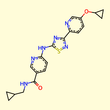 O=C(NCC1CC1)c1ccc(Nc2nc(-c3ccc(OC4CC4)cn3)ns2)nc1